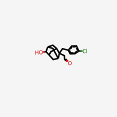 O=CCC1(Cc2ccc(Cl)cc2)C2CC3CC1CC(C2)C3O